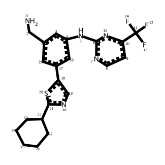 NCc1cc(Nc2nccc(C(F)(F)F)n2)cc(-c2cnc(C3CCCCC3)s2)c1